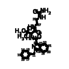 CC(C)(C)[C@H](NC(=O)c1nn(Cc2ccccc2)c2ccccc12)C(=O)NCCNC(N)=O